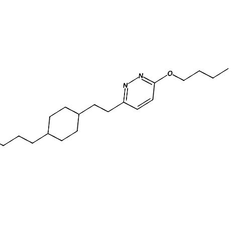 CCCCOc1ccc(CCC2CCC(CCCC)CC2)nn1